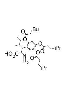 CCC(C)CC(=O)OC(C)C(C)C(c1ccc(OC(=O)CCC(C)C)c(OC(=O)CCC(C)C)c1)[C@H](N)C(=O)O